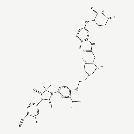 CC(C)c1cc(N2C(=S)N(c3ccc(C#N)c(Cl)c3)C(=O)C2(C)C)ccc1OCCN1C[C@@H](C)N(CC(=O)Nc2cc(NC3CCC(=O)NC3=O)ccc2F)[C@@H](C)C1